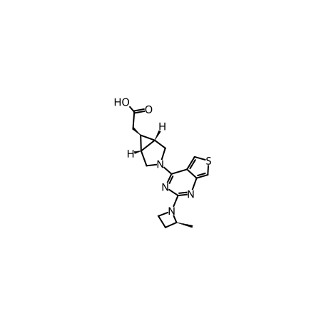 C[C@H]1CCN1c1nc(N2C[C@@H]3[C@@H](CC(=O)O)[C@@H]3C2)c2cscc2n1